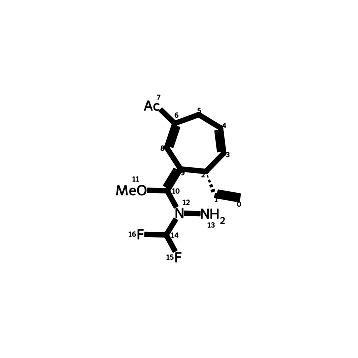 C=C[C@H]1C=CCC(C(C)=O)=C/C1=C(\OC)N(N)C(F)F